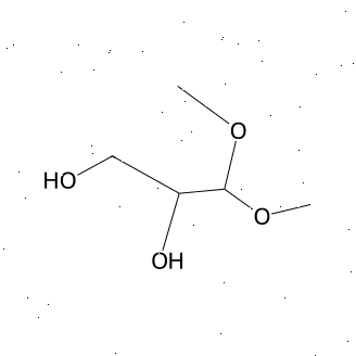 COC(OC)C(O)CO